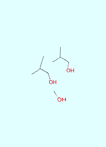 CC(C)CO.CC(C)CO.CO